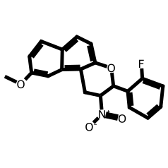 COc1ccc2ccc3c(c2c1)CC([N+](=O)[O-])C(c1ccccc1F)O3